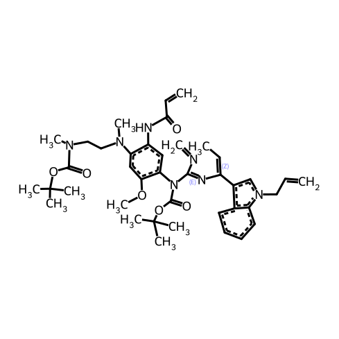 C=CCn1cc(C(=C/C)/N=C(\N=C)N(C(=O)OC(C)(C)C)c2cc(NC(=O)C=C)c(N(C)CCN(C)C(=O)OC(C)(C)C)cc2OC)c2ccccc21